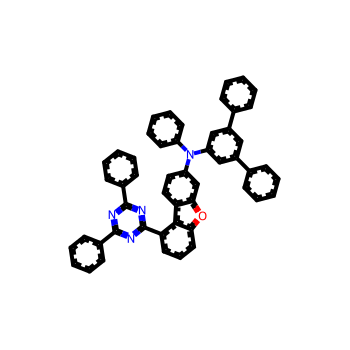 c1ccc(-c2cc(-c3ccccc3)cc(N(c3ccccc3)c3ccc4c(c3)oc3cccc(-c5nc(-c6ccccc6)nc(-c6ccccc6)n5)c34)c2)cc1